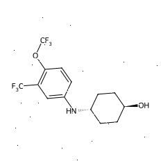 O[C@H]1CC[C@H](Nc2ccc(OC(F)(F)F)c(C(F)(F)F)c2)CC1